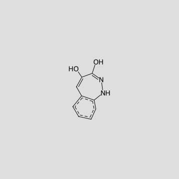 OC1=Cc2ccccc2NN=C1O